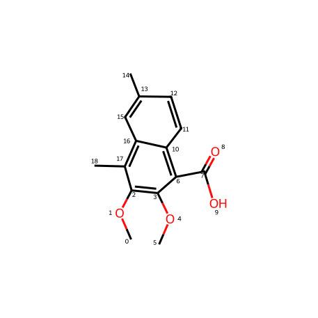 COc1c(OC)c(C(=O)O)c2ccc(C)cc2c1C